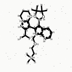 CC1(C)OB(c2c(-c3c(C(F)F)nn4c3OCCC4)n(COCC[Si](C)(C)C)c3ncccc23)OC1(C)C